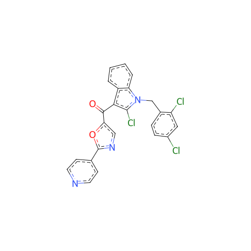 O=C(c1cnc(-c2ccncc2)o1)c1c(Cl)n(Cc2ccc(Cl)cc2Cl)c2ccccc12